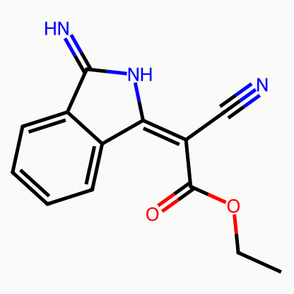 CCOC(=O)C(C#N)=C1NC(=N)c2ccccc21